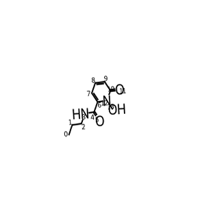 CCCNC(=O)c1cccc(=O)n1O